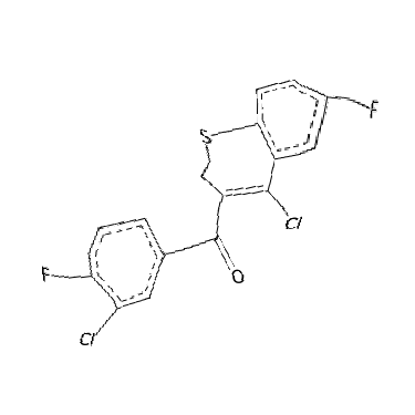 O=C(C1=C(Cl)c2cc(F)ccc2SC1)c1ccc(F)c(Cl)c1